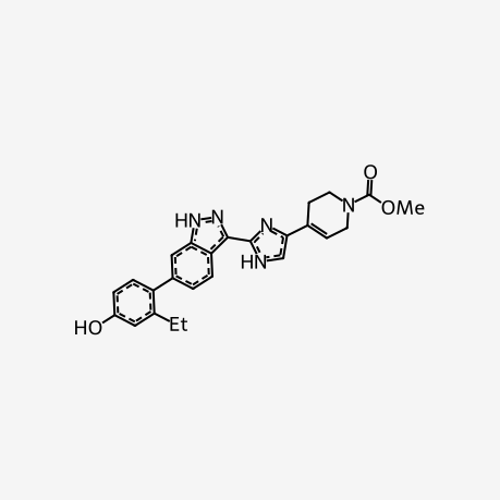 CCc1cc(O)ccc1-c1ccc2c(-c3nc(C4=CCN(C(=O)OC)CC4)c[nH]3)n[nH]c2c1